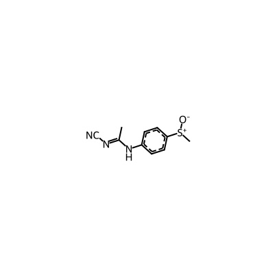 C/C(=N\C#N)Nc1ccc([S+](C)[O-])cc1